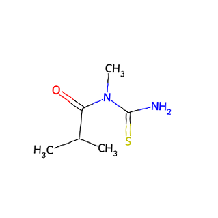 CC(C)C(=O)N(C)C(N)=S